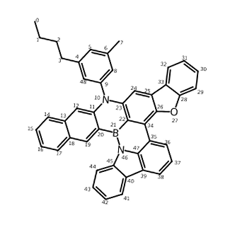 CCCCc1cc(C)cc(N2c3cc4ccccc4cc3B3c4c2cc2c(oc5ccccc52)c4-c2cccc4c5ccccc5n3c24)c1